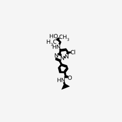 CC(C)(O)CNc1cc(Cl)nn2c(-c3ccc(C(=O)NC4CC4)cc3)cnc12